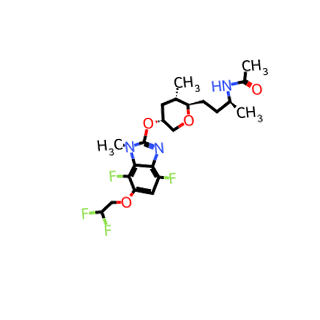 CC(=O)N[C@@H](C)CC[C@H]1OC[C@H](Oc2nc3c(F)cc(OCC(F)F)c(F)c3n2C)C[C@@H]1C